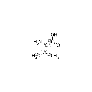 [13CH3][13CH]([13CH3])[13C@H](N)[13C](=O)O